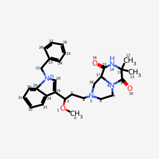 COC(CCN1CCN2C(=O)C(C)(C)NC(=O)C2C1)c1cn(Cc2ccccc2)c2ccccc12